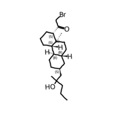 CCCC(C)(O)C[C@H]1CC[C@@H]2[C@H](CC[C@]3(C)[C@@H](C(=O)CBr)CCC[C@@H]23)C1